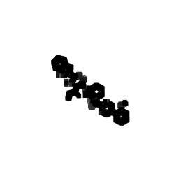 CC[C@H](C)[C@H](NC(=O)c1cc2ccccc2[nH]1)C(=O)N1C[C@@H]2C1CCCN2C(=O)c1ncc(-c2ccccc2OC)cn1